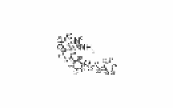 CN1C(=O)C2(CC(C)(C)Oc3ccc(-c4cccc(OCCCc5ccccc5)c4)cc32)N=C1N